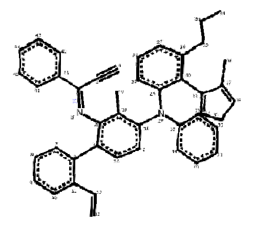 C#C/C(=N\c1c(-c2ccccc2C=C)ccc(N(c2ccccc2)c2cccc(CCC)c2C2=CCC=C2C)c1C)c1ccccc1